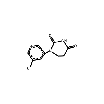 O=C1CCN(c2cncc(Cl)c2)C(=O)N1